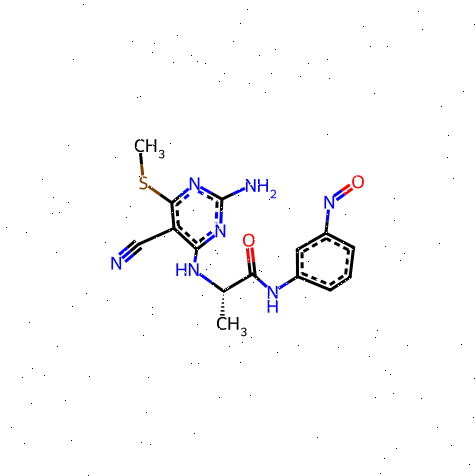 CSc1nc(N)nc(N[C@@H](C)C(=O)Nc2cccc(N=O)c2)c1C#N